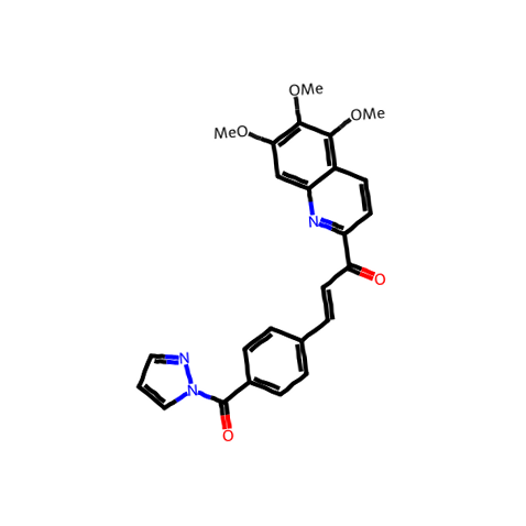 COc1cc2nc(C(=O)C=Cc3ccc(C(=O)n4cccn4)cc3)ccc2c(OC)c1OC